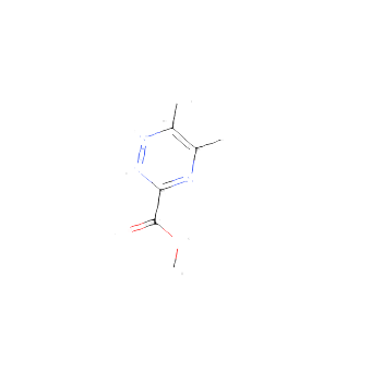 CCOC(=O)c1nc(C(=O)OC(C)(C)C)nnc1C(F)(F)F